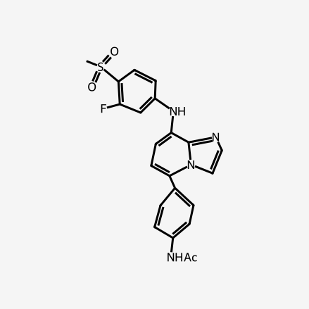 CC(=O)Nc1ccc(-c2ccc(Nc3ccc(S(C)(=O)=O)c(F)c3)c3nccn23)cc1